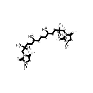 CCN1CC(=O)N(CC(C)(C)CCC(O)CCCC(O)CCC(C)(C)CN2C(=S)CN(CC)C2=S)C1=O